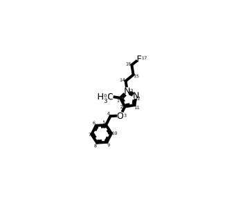 Cc1c(OCc2ccccc2)cnn1CCCF